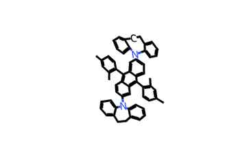 Cc1ccc(-c2c3ccc(N4c5ccccc5CCc5ccccc54)cc3c(-c3ccc(C)cc3C)c3ccc(N4c5ccccc5CCc5ccccc54)cc23)c(C)c1